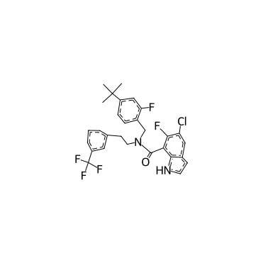 CC(C)(C)c1ccc(CN(CCc2cccc(C(F)(F)F)c2)C(=O)c2c(F)c(Cl)cc3cc[nH]c23)c(F)c1